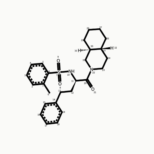 Cc1ccccc1S(=O)(=O)N[C@H](CCc1ccccc1)C(=O)N1CC[C@H]2CCCC[C@@H]2C1